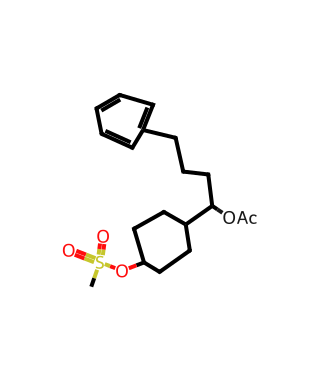 CC(=O)OC(CCCc1ccccc1)C1CCC(OS(C)(=O)=O)CC1